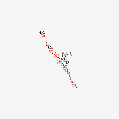 C=CC(=O)OCCCCCCOc1ccc(OC(=O)[C@H]2CC[C@H](C(=O)Oc3ccc(OC(=O)[C@H]4CC[C@H](C(=O)Oc5ccc(OCCCCCCOC(=O)C=C)cc5)CC4)c(/C=N/N(c4nc5ccccc5s4)C(C)CCCC)c3)CC2)cc1